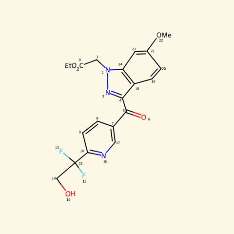 CCOC(=O)Cn1nc(C(=O)c2ccc(C(F)(F)CO)nc2)c2ccc(OC)cc21